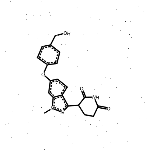 Cn1nc(C2CCC(=O)NC2=O)c2ccc(Oc3ccc(CO)cc3)cc21